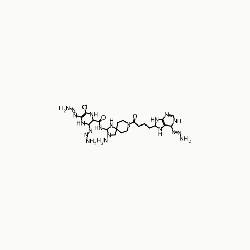 NN=NC1=C(Cl)NC(C(=O)NC2NC3(CCN(C(=O)CCCC4NC5=C(N4)C(N=NN)NC=N5)CC3)CN2N)C(N=NN)N1